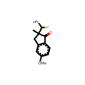 CCCC(F)C1(C)Cc2cc(OC)ccc2C1=O